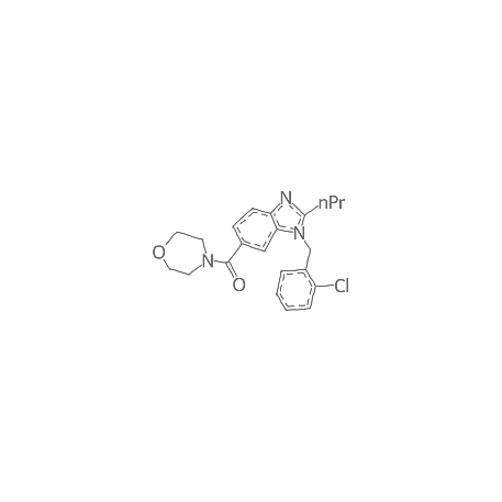 CCCc1nc2ccc(C(=O)N3CCOCC3)cc2n1Cc1ccccc1Cl